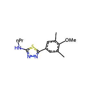 CCCNc1nnc(-c2cc(C)c(OC)c(C)c2)s1